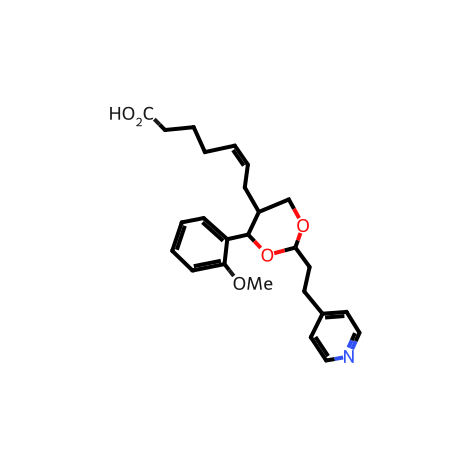 COc1ccccc1C1OC(CCc2ccncc2)OCC1C/C=C\CCCC(=O)O